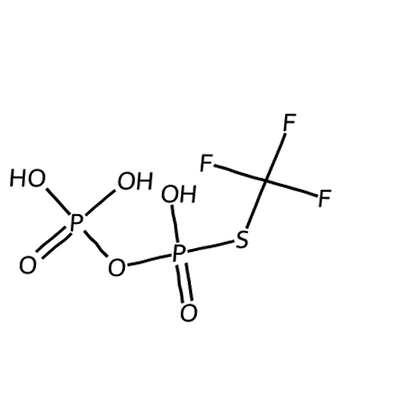 O=P(O)(O)OP(=O)(O)SC(F)(F)F